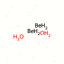 O.O.[BeH2].[BeH2]